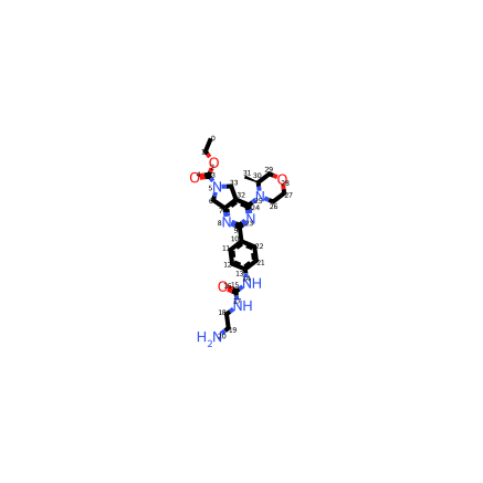 CCOC(=O)N1Cc2nc(-c3ccc(NC(=O)NCCN)cc3)nc(N3CCOC[C@@H]3C)c2C1